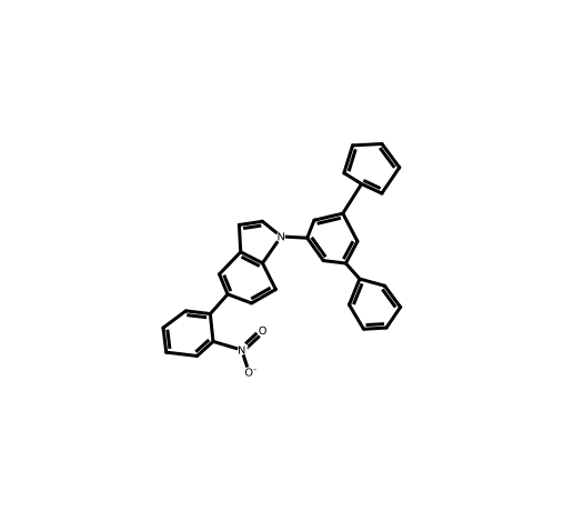 O=[N+]([O-])c1ccccc1-c1ccc2c(ccn2-c2cc(-c3ccccc3)cc(-c3ccccc3)c2)c1